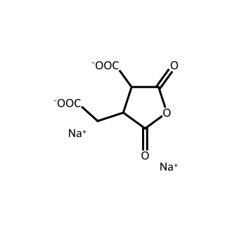 O=C([O-])CC1C(=O)OC(=O)C1C(=O)[O-].[Na+].[Na+]